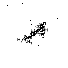 CC(C)C(=O)NCCc1ccc(NC(=O)/C=C2\CC(OC(=O)O)Nc3cc(Cl)cc(Cl)c32)cc1